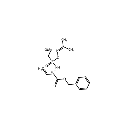 C=C[C@H](NP(=O)(COC)ON=C(C)C)C(=O)OCc1ccccc1